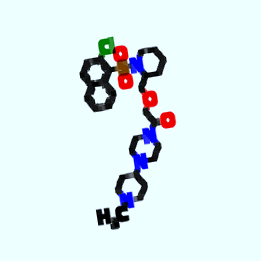 CN1CCC(N2CCN(C(=O)COCC3CCCCN3S(=O)(=O)c3c(Cl)ccc4ccccc34)CC2)CC1